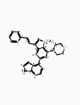 C[C@@H]1COCCN1c1nc(-c2ccnc3[nH]ccc23)nc2c(/C=C/c3ccccn3)csc12